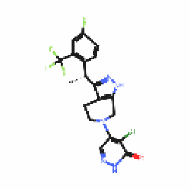 C[C@H](c1ccc(F)cc1C(F)(F)F)c1n[nH]c2c1CCN(c1cn[nH]c(=O)c1Cl)C2